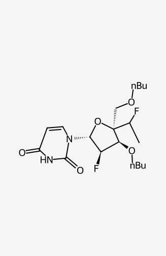 CCCCOC[C@@]1(C(C)F)O[C@@H](n2ccc(=O)[nH]c2=O)[C@H](F)[C@@H]1OCCCC